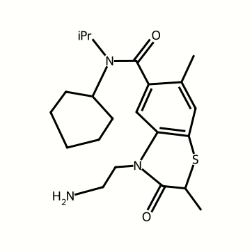 Cc1cc2c(cc1C(=O)N(C(C)C)C1CCCCC1)N(CCN)C(=O)C(C)S2